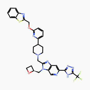 FC(F)(F)c1nnc(-c2cc3nc(CN4CCC(c5cccc(OCc6nc7ccccc7s6)n5)CC4)n(C[C@@H]4CCO4)c3cn2)[nH]1